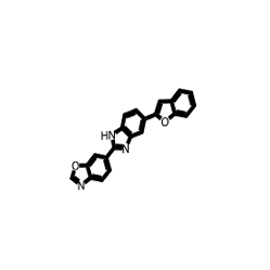 c1ccc2oc(-c3ccc4[nH]c(-c5ccc6ncoc6c5)nc4c3)cc2c1